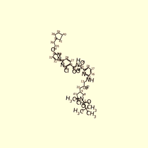 CC(C)(C)OC(=O)N1CC(CC(F)CNc2cccc(S(=O)(=O)NC(=O)c3ccc(-n4ccc(OCCC5CCCC5)n4)nc3Cl)n2)CC1(C)C